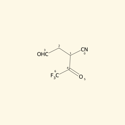 N#CC(CC=O)C(=O)C(F)(F)F